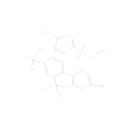 CC(C)(C)c1ccc(-c2ccc(O)cc2)c(C(C)(C)C)c1.COS(=O)(=O)c1ccc(C)cc1